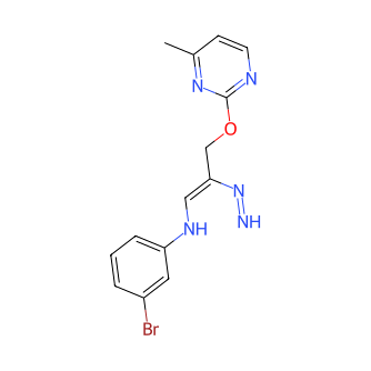 Cc1ccnc(OC/C(=C/Nc2cccc(Br)c2)N=N)n1